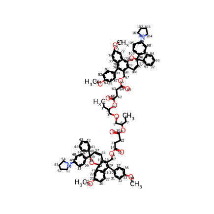 CCC(COCC(CC)OC(=O)CCC(=O)OCc1c2c(c3cc(OC)ccc3c1-c1ccc(OC)cc1)OC(c1ccccc1)(c1ccc(N3CCCC3)cc1)C=C2)OC(=O)CCC(=O)OCc1c2c(c3cc(OC)ccc3c1-c1ccc(OC)cc1)OC(c1ccccc1)(c1ccc(N3CCCC3)cc1)C=C2